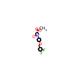 COC(=O)[C@H]1CC(=O)N(c2ccc(OCc3ccc(F)c(F)c3)cc2)C1